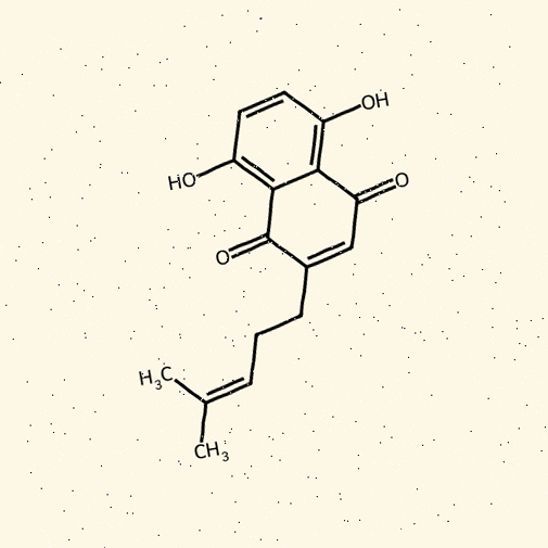 CC(C)=CCCC1=CC(=O)c2c(O)ccc(O)c2C1=O